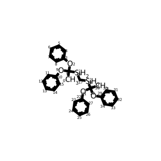 CC(Oc1ccccc1)(Oc1ccccc1)[SiH2]C[SiH2]C(C)(Oc1ccccc1)Oc1ccccc1